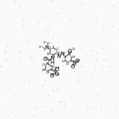 CCN(CC)c1ccc(N=Nc2ccc([N+](=O)[O-])cc2OC)c(NC(=O)c2cccc(S(=O)(=O)Cl)c2)c1